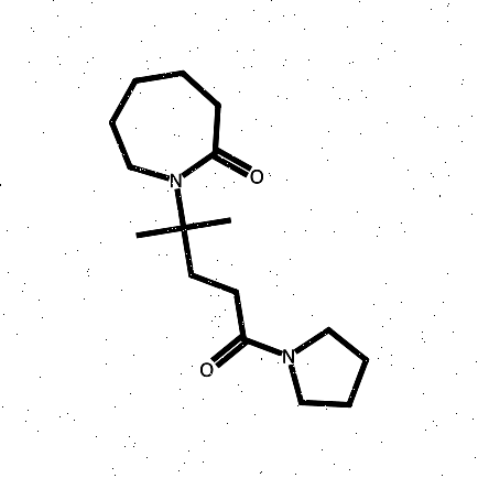 CC(C)(CCC(=O)N1CCCC1)N1CCCCCC1=O